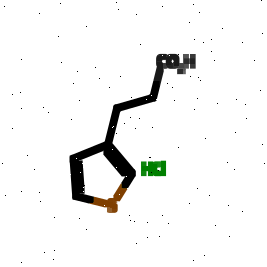 Cl.O=C(O)CCc1ccsc1